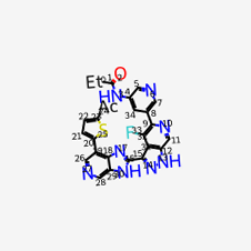 CCC(=O)Nc1cncc(-c2ncc3[nH]nc(-c4nc5c(-c6ccc(C(C)=O)s6)cncc5[nH]4)c3c2F)c1